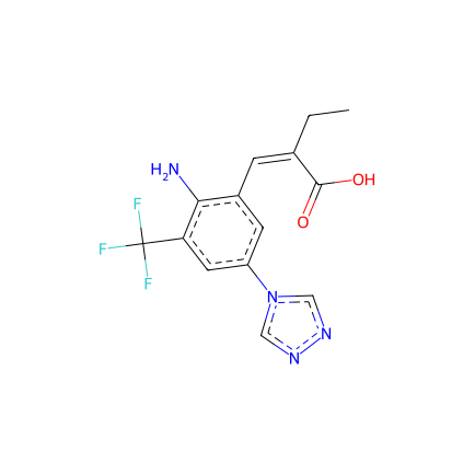 CCC(=Cc1cc(-n2cnnc2)cc(C(F)(F)F)c1N)C(=O)O